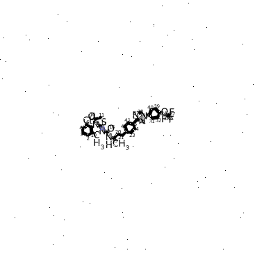 Cc1cccc(C)c1N1C(=O)CS/C1=N\C(=O)NC(C)CCc1ccc(-c2ncn(-c3ccc(OC(F)(F)F)cc3)n2)cc1